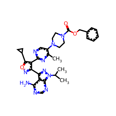 Cc1nc(-c2c(-c3nn(C(C)C)c4ncnc(N)c34)noc2C2CC2)ncc1N1CCN(C(=O)OCc2ccccc2)CC1